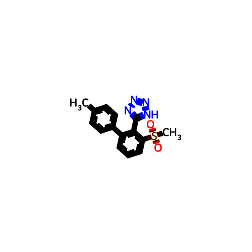 Cc1ccc(-c2cccc(S(C)(=O)=O)c2-c2nnn[nH]2)cc1